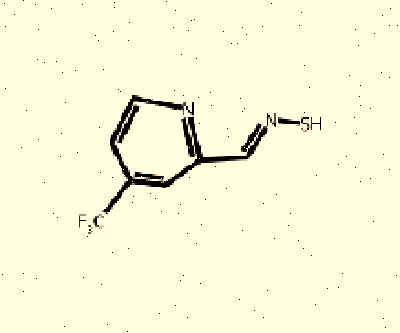 FC(F)(F)c1ccnc(/C=N/S)c1